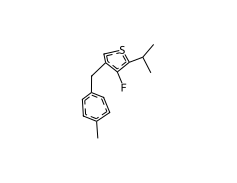 Cc1ccc(Cc2csc(C(C)C)c2F)cc1